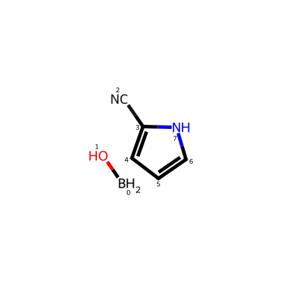 BO.N#Cc1ccc[nH]1